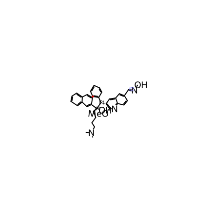 COc1nc2ccc(/C=N/O)cc2cc1[C@@H](c1ccccc1)[C@](O)(CCCCN(C)C)c1ccc2ccccc2c1